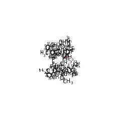 CCOC(=O)C[C@H](NC(=O)C(CC(C)C)n1cc(CCN2CCC2)c(C(F)(F)F)cc1=O)c1c(F)c(-c2c(C)cccc2C)cc(C(F)(F)F)c1F.Cc1cccc(C)c1-c1cc(C(F)(F)F)c(F)c([C@H](CC(=O)O)NC(=O)C(CC(C)C)n2cc(CCN3CCC3)c(C(F)(F)F)cc2=O)c1F